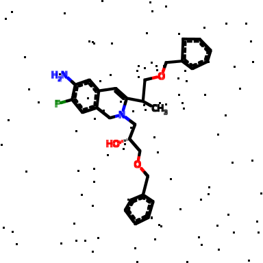 CC(COCc1ccccc1)C1=Cc2cc(N)c(F)cc2CN1C[C@@H](O)COCc1ccccc1